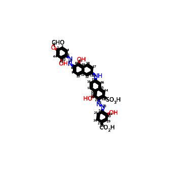 O=COc1ccc(N=Nc2ccc3cc(Nc4ccc5c(O)c(N=Nc6ccc(C(=O)O)cc6O)c(S(=O)(=O)O)cc5c4)ccc3c2O)c(O)c1